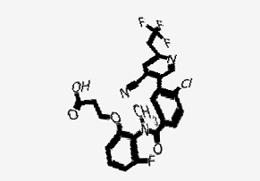 CN(C(=O)c1ccc(Cl)c(-c2cnc(CC(F)(F)F)cc2C#N)c1)c1c(F)cccc1OCCC(=O)O